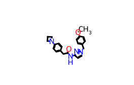 COc1ccc(Cn2ccc(NC(=O)Cc3ccc(N4CCC4)cc3)n2)cc1